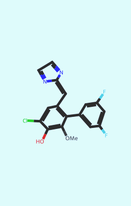 COc1c(O)c(Cl)cc(C=C2N=CC=N2)c1-c1cc(F)cc(F)c1